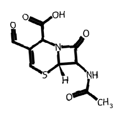 CC(=O)NC1C(=O)N2C(C(=O)O)C(C=O)=CS[C@@H]12